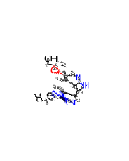 C=CCOc1cnc2[nH]cc(-c3cnn(C)c3)c2c1